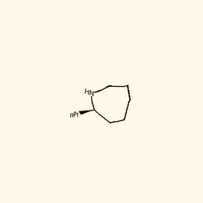 CCC[C@@H]1CCCCCN1